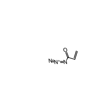 C=CC(=O)N=[N+]=[N-]